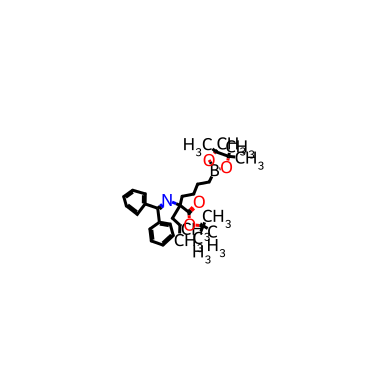 CC(C)CC(CCCCB1OC(C)(C)C(C)(C)O1)(N=C(c1ccccc1)c1ccccc1)C(=O)OC(C)(C)C